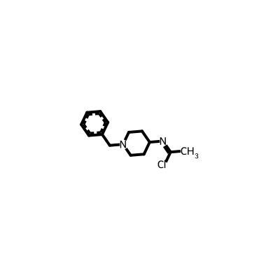 CC(Cl)=NC1CCN(Cc2ccccc2)CC1